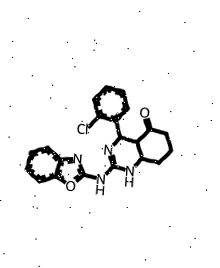 O=C1CCCC2NC(Nc3nc4ccccc4o3)=NC(c3ccccc3Cl)C12